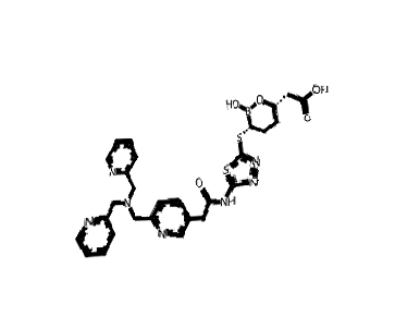 O=C(O)C[C@@H]1CC[C@H](Sc2nnc(NC(=O)Cc3ccc(CN(Cc4ccccn4)Cc4ccccn4)nc3)s2)B(O)O1